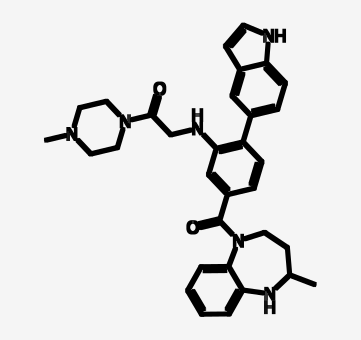 CC1CCN(C(=O)c2ccc(-c3ccc4[nH]ccc4c3)c(NCC(=O)N3CCN(C)CC3)c2)c2ccccc2N1